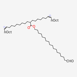 CCCCCCCC/C=C\CCCCCCCCC(CCCCCC/C=C\CCCCCCCC)C(=O)OCCCCCCCCCCCCCCCCCC=O